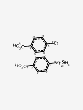 CCc1ccc(C(=O)O)cc1.CCc1ccc(C(=O)O)cc1.[SiH4]